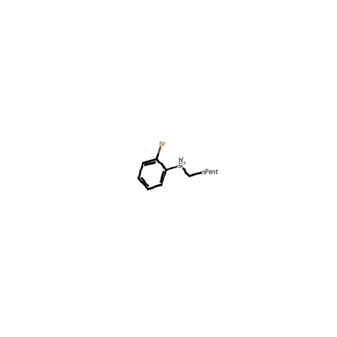 CCCCCC[SiH2]c1ccccc1Br